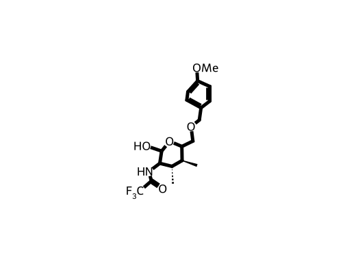 COc1ccc(COCC2OC(O)C(NC(=O)C(F)(F)F)[C@@H](C)[C@@H]2C)cc1